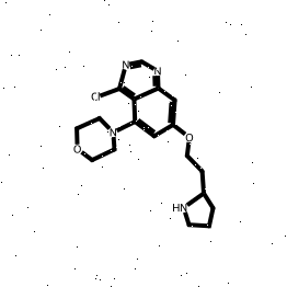 Clc1ncnc2cc(OCCC3CCCN3)cc(N3CCOCC3)c12